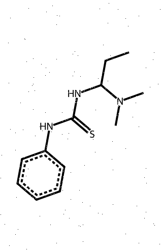 CCC(NC(=S)Nc1ccccc1)N(C)C